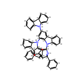 c1ccc(-c2cc(-c3ccccc3)nc(-n3c4ccccc4c4cc(-n5c6ccccc6c6ccccc65)cc(-n5c6ccccc6c6ccccc65)c43)c2)cc1